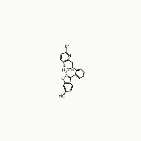 N#Cc1ccc2c(-c3ccccc3[C@@H](N)Cc3nc(Br)ccc3F)noc2c1